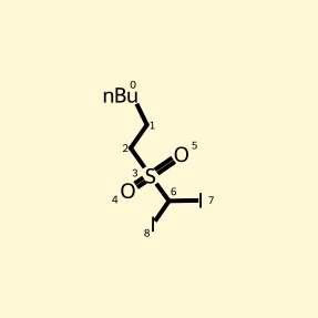 CCCCCCS(=O)(=O)C(I)I